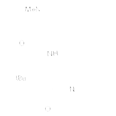 CNCC(=O)N[C@H](C(=O)N1CCCC1)C(C)(C)C